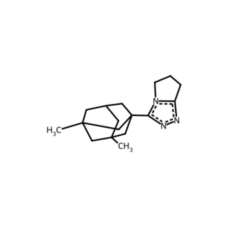 CC12CC3CC(C)(C1)CC(c1nnc4n1CCC4)(C3)C2